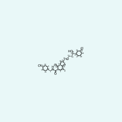 Cn1cc(C(=O)NCc2ccc(Cl)cc2)c(=O)c2cc(COCCC(O)c3cccc(Cl)c3)sc21